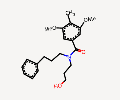 COc1cc(C(=O)N(CCCO)CCCc2ccccc2)cc(OC)c1C